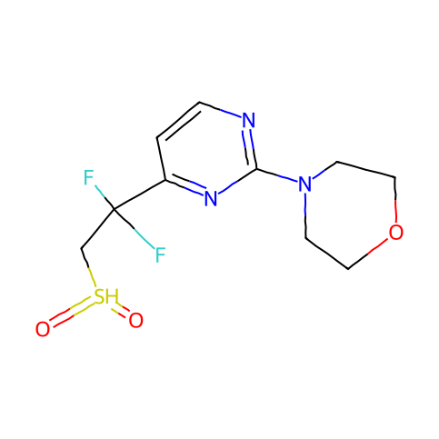 O=[SH](=O)CC(F)(F)c1ccnc(N2CCOCC2)n1